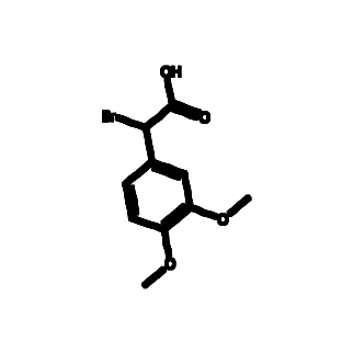 COc1ccc(C(Br)C(=O)O)cc1OC